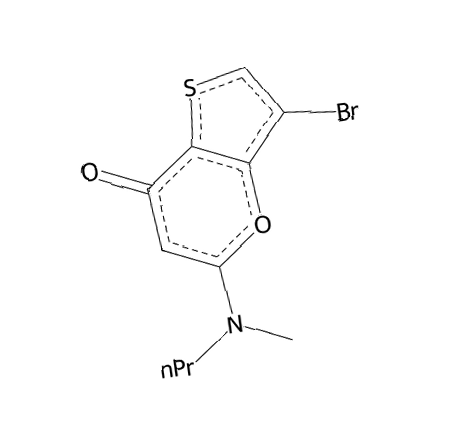 CCCN(C)c1cc(=O)c2scc(Br)c2o1